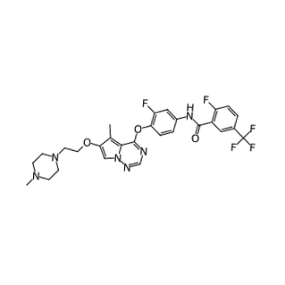 Cc1c(OCCN2CCN(C)CC2)cn2ncnc(Oc3ccc(NC(=O)c4cc(C(F)(F)F)ccc4F)cc3F)c12